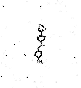 Nc1ccc(CNc2ccc(-c3cnco3)cc2)cc1